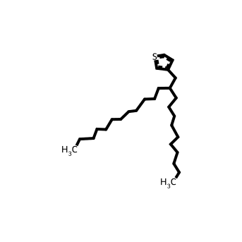 CCCCCCCCCCCCC(CCCCCCCCCC)Cc1ccsc1